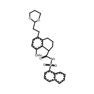 COc1ccc(CCC2OCCCO2)c2c1C(C(=O)NS(=O)(=O)c1cccc3ccccc13)CCC2